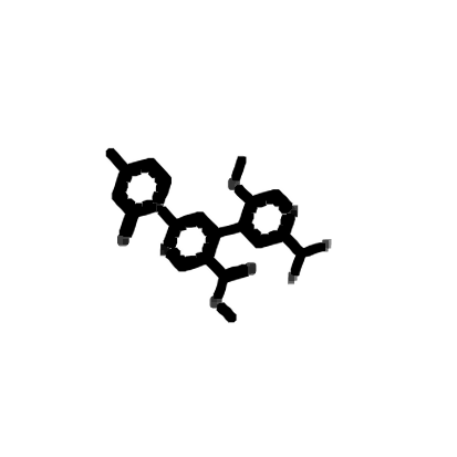 COC(=O)c1cnc(-n2ccc(C)cc2=O)cc1-c1cc(C(F)F)ncc1OC